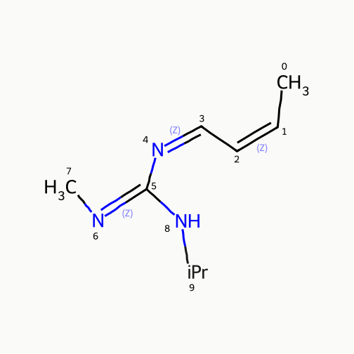 C\C=C/C=N\C(=N/C)NC(C)C